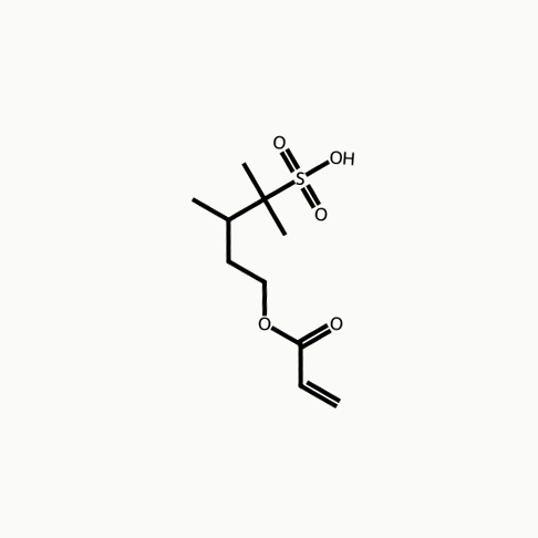 C=CC(=O)OCCC(C)C(C)(C)S(=O)(=O)O